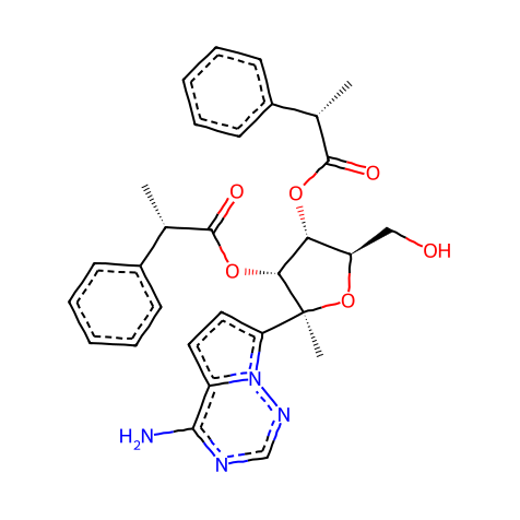 C[C@H](C(=O)O[C@H]1[C@@H](OC(=O)[C@@H](C)c2ccccc2)[C@](C)(c2ccc3c(N)ncnn23)O[C@@H]1CO)c1ccccc1